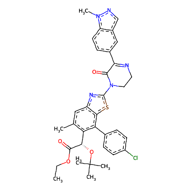 CCOC(=O)[C@@H](OC(C)(C)C)c1c(C)cc2nc(N3CCN=C(c4ccc5c(cnn5C)c4)C3=O)sc2c1-c1ccc(Cl)cc1